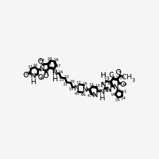 CC(=O)c1c(C)c2cnc(Nc3ccc(N4CCN(CCCCCCNc5cccc6c5C(=O)N(C5CCC(=O)NC5=O)C6=O)CC4)cn3)nc2n(C2CCCC2)c1=O